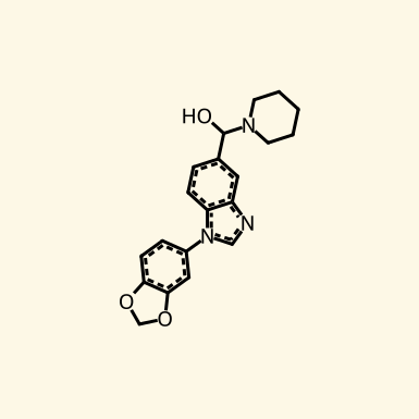 OC(c1ccc2c(c1)ncn2-c1ccc2c(c1)OCO2)N1CCCCC1